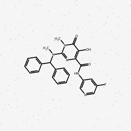 CN(c1nc(C(=O)Nc2cncc(F)c2)c(O)c(=O)n1C)C(c1ccccc1)c1ccccc1